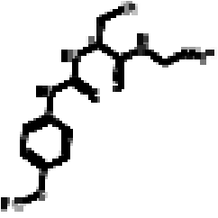 CC(C)C[C@H](NC(=O)Nc1ccc(SC(F)(F)F)cc1)C(=O)NCC(=O)O